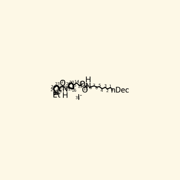 CCCCCCCCCCCCCCCCCCNC(=O)OCCc1ccc(NC(=O)c2ccc[n+](CC)c2)cc1.[I-]